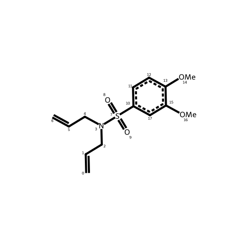 C=CCN(CC=C)S(=O)(=O)c1ccc(OC)c(OC)c1